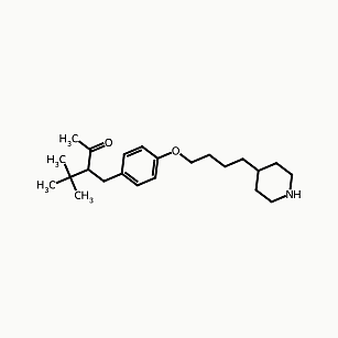 CC(=O)C(Cc1ccc(OCCCCC2CCNCC2)cc1)C(C)(C)C